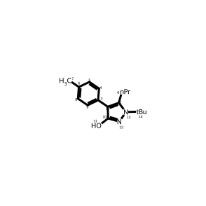 CCCc1c(-c2ccc(C)cc2)c(O)nn1C(C)(C)C